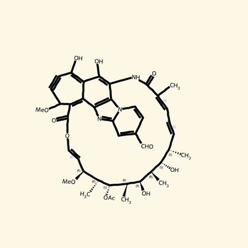 COC1C#CC(O)=c2c(O)c3c4c(nc5cc(C=O)ccn54)c2=C1C(=O)O/C=C/[C@H](OC)[C@@H](C)[C@@H](OC(C)=O)[C@H](C)[C@H](O)[C@H](C)[C@@H](O)[C@@H](C)/C=C/C=C(/C)C(=O)N3